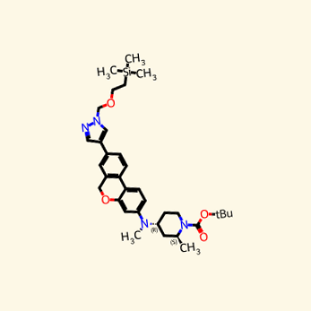 C[C@H]1C[C@H](N(C)c2ccc3c(c2)OCc2cc(-c4cnn(COCC[Si](C)(C)C)c4)ccc2-3)CCN1C(=O)OC(C)(C)C